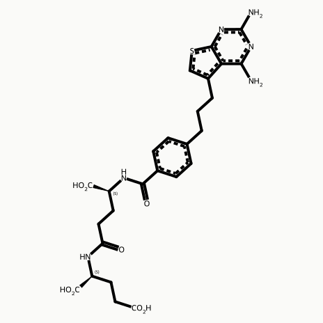 Nc1nc(N)c2c(CCCc3ccc(C(=O)N[C@@H](CCC(=O)N[C@@H](CCC(=O)O)C(=O)O)C(=O)O)cc3)csc2n1